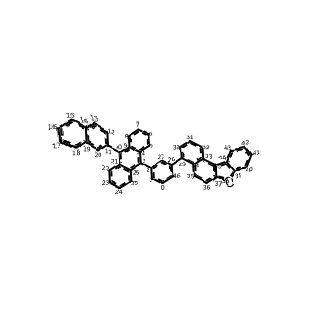 c1cc(-c2c3ccccc3c(-c3ccc4ccccc4c3)c3ccccc23)cc(-c2cccc3c2ccc2oc4ccccc4c23)c1